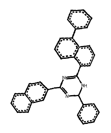 c1ccc(-c2cccc3c(C4=NC(c5ccc6ccccc6c5)=NC(c5ccccc5)N4)cccc23)cc1